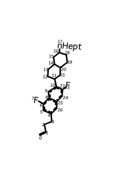 C=CCCc1cc(F)c2cc(C3CCC4CC(CCCCCCC)CCC4C3)c(F)cc2c1